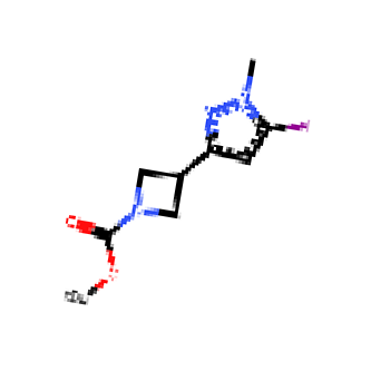 Cn1nc(C2CN(C(=O)OC(C)(C)C)C2)cc1I